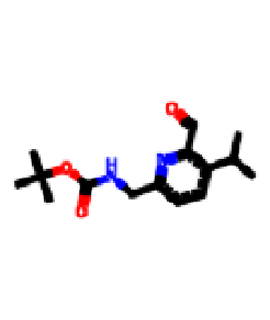 CC(C)c1ccc(CNC(=O)OC(C)(C)C)nc1C=O